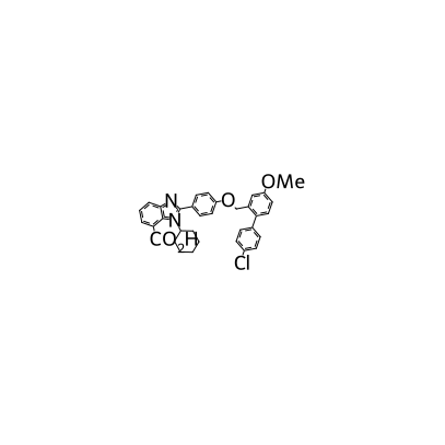 COc1ccc(-c2ccc(Cl)cc2)c(COc2ccc(-c3nc4cccc(C(=O)O)c4n3C3CCCCC3)cc2)c1